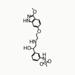 COc1n[nH]c2cc(OCCNC[C@H](O)c3cccc(NS(C)(=O)=O)c3)ccc12